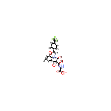 Cc1cc2c3c(c1)c(O)c(C(=O)NCC(=O)O)c(=O)n3CC(c1ccc(C(F)(F)F)cc1)O2